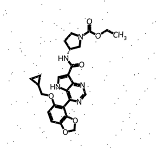 CCOC(=O)N1CC[C@@H](NC(=O)c2c[nH]c3c(-c4c(OCC5CC5)ccc5c4OCO5)ncnc23)C1